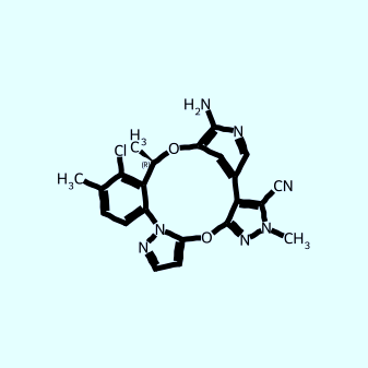 Cc1ccc2c(c1Cl)[C@@H](C)Oc1cc(cnc1N)-c1c(nn(C)c1C#N)Oc1ccnn1-2